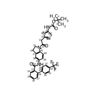 CC(C)(C)OC(=O)Nc1nc(CC(=O)N2CCc3cc(NC(=O)c4ccccc4-c4ccc(C(F)(F)F)cc4)ccc32)ns1